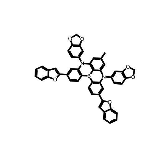 Cc1cc2c3c(c1)N(c1ccc4c(c1)OCO4)c1cc(-c4cc5ccccc5o4)ccc1B3c1ccc(-c3cc4ccccc4o3)cc1N2c1ccc2c(c1)OCO2